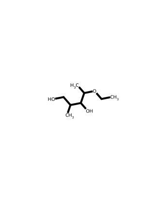 CCOC(C)C(O)C(C)CO